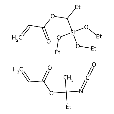 C=CC(=O)OC(C)(CC)N=C=O.C=CC(=O)OC(CC)[Si](OCC)(OCC)OCC